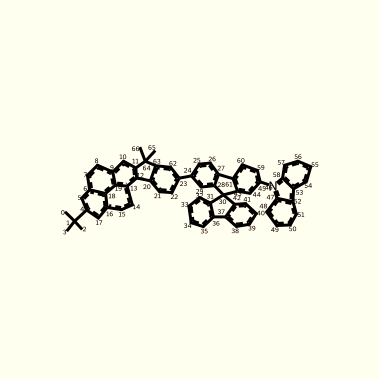 CC(C)(C)c1cc2ccc3cc4c(c5ccc(c1)c2c35)-c1ccc(-c2ccc3c(c2)C2(c5ccccc5-c5ccccc52)c2cc(-n5c6ccccc6c6ccccc65)ccc2-3)cc1C4(C)C